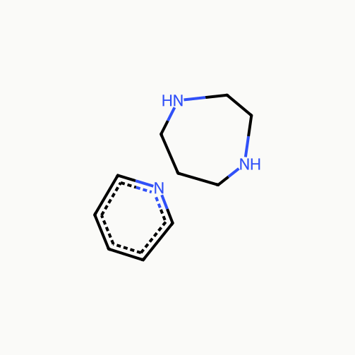 C1CNCCNC1.c1ccncc1